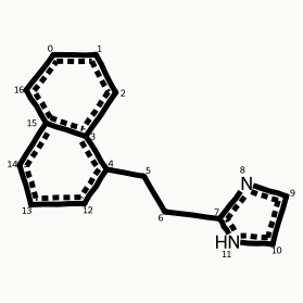 c1ccc2c(CCc3ncc[nH]3)cccc2c1